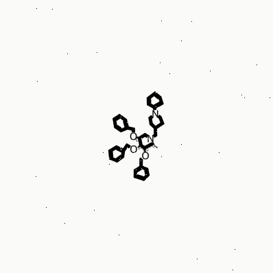 C[C@@H]1[C@@H](OCc2ccccc2)[C@H](OCc2ccccc2)[C@@H](OCc2ccccc2)CN1CC1CCN(c2ccccc2)CC1